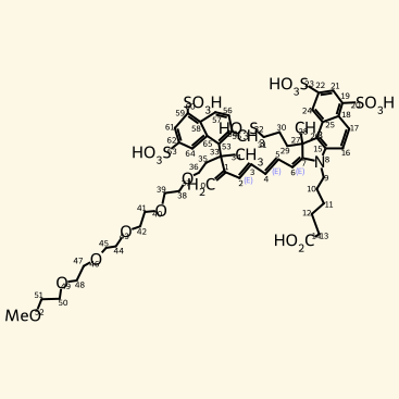 C=C(/C=C/C=C/C=C1/N(CCCCCC(=O)O)c2ccc3c(S(=O)(=O)O)cc(S(=O)(=O)O)cc3c2C1(C)CCCS(=O)(=O)O)C(C)(CCOCCOCCOCCOCCOCCOC)c1c(C)ccc2c(S(=O)(=O)O)cc(S(=O)(=O)O)cc12